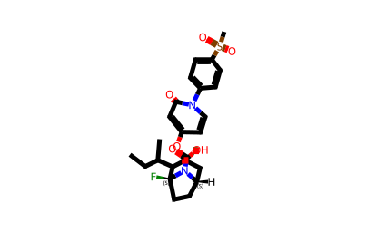 CCC(C)C1[C@](F)(Oc2ccn(-c3ccc(S(C)(=O)=O)cc3)c(=O)c2)C[C@@H]2CC[C@@]1(F)N2C(=O)O